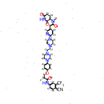 C[C@H](COc1ccc(N2CCN(CCN3CCN(c4ccc(CC(=O)N(C)C5CCC(=O)NC5=O)cn4)CC3)CC2)cc1)C(=O)Nc1ccc(C#N)c(C(F)(F)F)c1